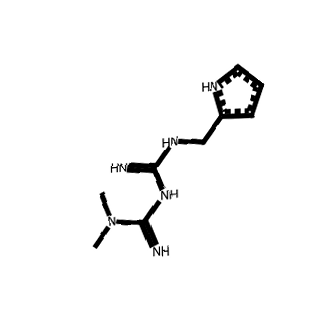 CN(C)C(=N)NC(=N)NCc1ccc[nH]1